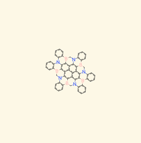 c1ccc2c(c1)B1c3ccccc3N3CB4c5ccccc5N5CB6c7ccccc7N7c8ccccc8B8CN9c%10ccccc%10B%10CN2c2c1c3c1c4c5c3c6c7c8c4c9c%10c2c1c43